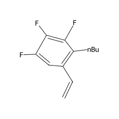 C=Cc1cc(F)c(F)c(F)c1CCCC